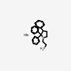 Br.PCCN1CCC(c2ccccc2)C1(c1ccccc1)c1ccccc1